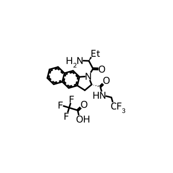 CC[C@H](N)C(=O)N1c2cc3ccccc3cc2C[C@H]1C(=O)NCC(F)(F)F.O=C(O)C(F)(F)F